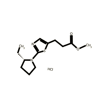 CC[C@H]1CCCN1c1ncc(CCC(=O)OC)s1.Cl